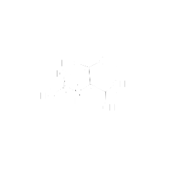 CC(C)C(NP(O)O)C(C)C